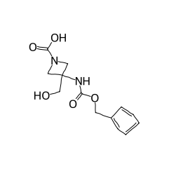 O=C(NC1(CO)CN(C(=O)O)C1)OCc1ccccc1